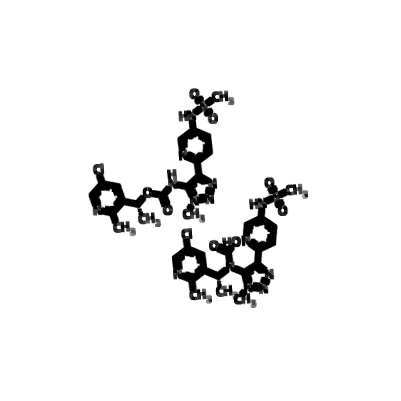 Cc1ncc(Cl)cc1[C@@H](C)N(C(=O)O)c1c(-c2ccc(NS(C)(=O)=O)cn2)nnn1C.Cc1ncc(Cl)cc1[C@@H](C)OC(=O)Nc1c(-c2ccc(NS(C)(=O)=O)cn2)nnn1C